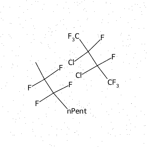 CCCCCC(F)(F)C(C)(F)F.FC(F)(F)C(F)(Cl)C(F)(Cl)C(F)(F)F